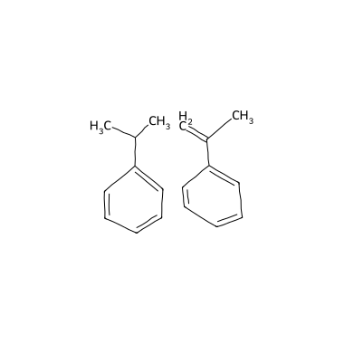 C=C(C)c1ccccc1.CC(C)c1ccccc1